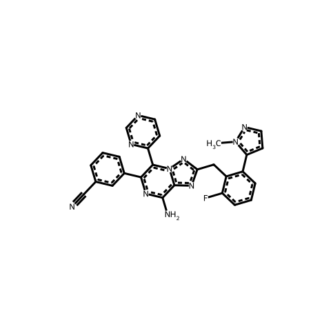 Cn1nccc1-c1cccc(F)c1Cc1nc2c(N)nc(-c3cccc(C#N)c3)c(-c3ccncn3)n2n1